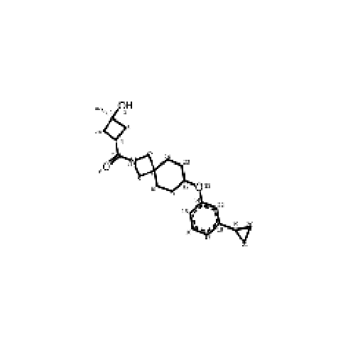 C[C@]1(O)C[C@@H](C(=O)N2CC3(CCC(Oc4cccc(C5CC5)c4)CC3)C2)C1